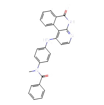 CN(C(=O)c1ccccc1)c1ccc(Nc2ccnc3[nH]c(=O)c4ccccc4c23)cc1